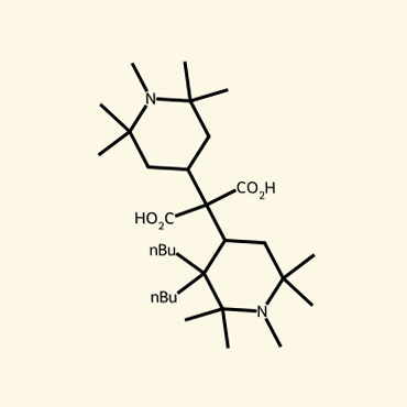 CCCCC1(CCCC)C(C(C(=O)O)(C(=O)O)C2CC(C)(C)N(C)C(C)(C)C2)CC(C)(C)N(C)C1(C)C